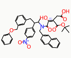 CC(C(Cc1cccc(COc2ccccc2)c1)c1ccc([N+](=O)[O-])cc1)N(Cc1ccc2ccccc2c1)C(=O)/C(O)=C(/CC(=O)O)C(=O)OC(C)(C)C